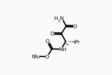 CC(C)[C@H](NC(=O)OC(C)(C)C)C(=O)C(N)=O